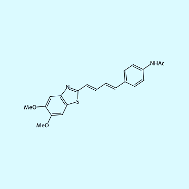 COc1cc2nc(/C=C/C=C/c3ccc(NC(C)=O)cc3)sc2cc1OC